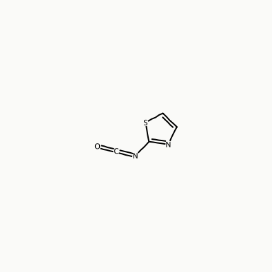 O=C=Nc1nccs1